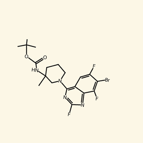 CC1(NC(=O)OC(C)(C)C)CCCN(c2nc(F)nc3c(F)c(Br)c(F)cc23)C1